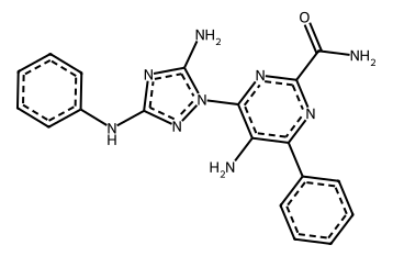 NC(=O)c1nc(-c2ccccc2)c(N)c(-n2nc(Nc3ccccc3)nc2N)n1